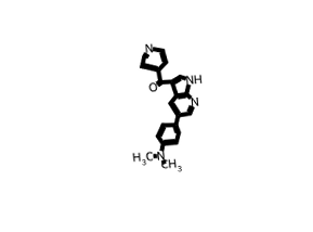 CN(C)c1ccc(-c2cnc3[nH]cc(C(=O)c4ccncc4)c3c2)cc1